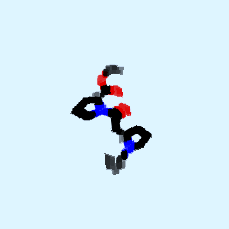 CN1CCC[C@H]1CC(=O)N1CCC[C@@H]1C(=O)OC(C)(C)C